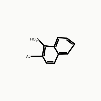 CC(=O)c1ccc2ccccc2c1S(=O)(=O)O